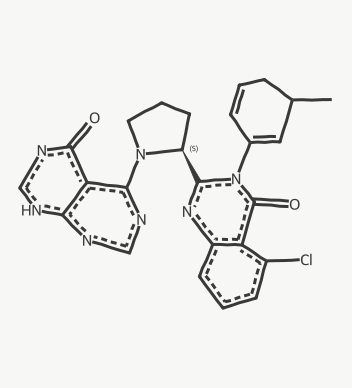 CC1C=C(n2c([C@@H]3CCCN3c3ncnc4[nH]cnc(=O)c34)nc3cccc(Cl)c3c2=O)C=CC1